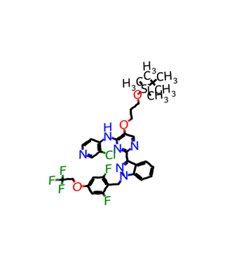 CC(C)(C)[Si](C)(C)OCCCOc1cnc(-c2nn(Cc3c(F)cc(OCC(F)(F)F)cc3F)c3ccccc23)nc1Nc1ccncc1Cl